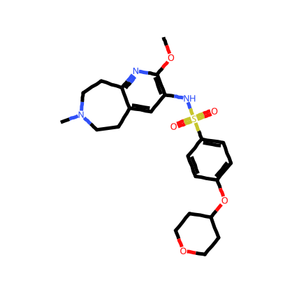 COc1nc2c(cc1NS(=O)(=O)c1ccc(OC3CCOCC3)cc1)CCN(C)CC2